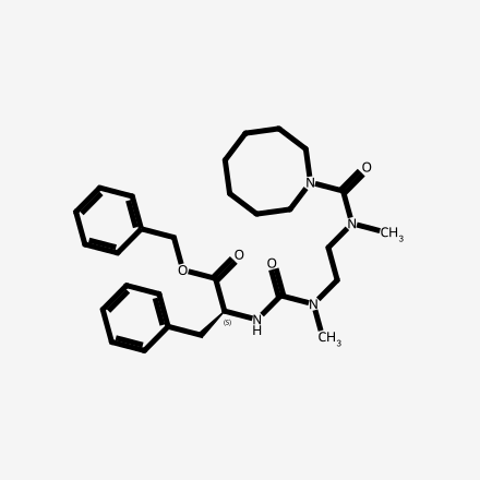 CN(CCN(C)C(=O)N1CCCCCCC1)C(=O)N[C@@H](Cc1ccccc1)C(=O)OCc1ccccc1